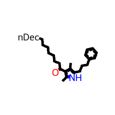 CCCCCCCCCCCCCCCCCC(=O)c1c(C)[nH]c(CCCc2ccccc2)c1C